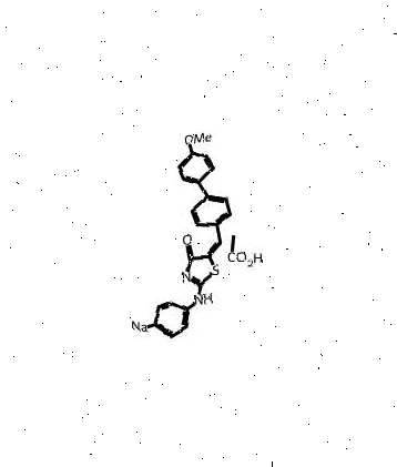 CC(=O)O.COc1ccc(-c2ccc(C=C3SC(Nc4cc[c]([Na])cc4)=NC3=O)cc2)cc1